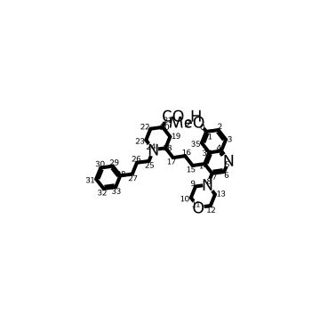 COc1ccc2ncc(N3CCOCC3)c(CCCC3CC(C(=O)O)CCN3CCCc3ccccc3)c2c1